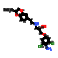 CCOC(=O)C1COc2cc(CCNC[C@H](O)COc3cc(Cl)c(N)c(Cl)c3)ccc2O1